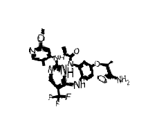 C=CC(=O)Nc1cc(O[C@@H](C)C(N)=O)ccc1Nc1nc(Nc2cc(OC)ncc2C)ncc1C(F)(F)F